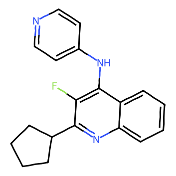 Fc1c(C2CCCC2)nc2ccccc2c1Nc1ccncc1